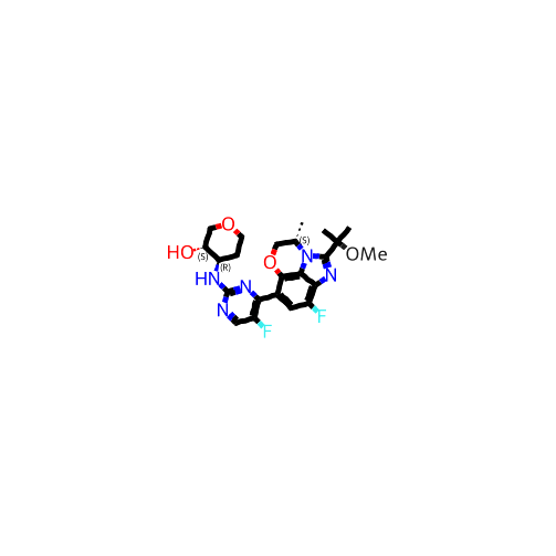 COC(C)(C)c1nc2c(F)cc(-c3nc(N[C@@H]4CCOC[C@H]4O)ncc3F)c3c2n1[C@@H](C)CO3